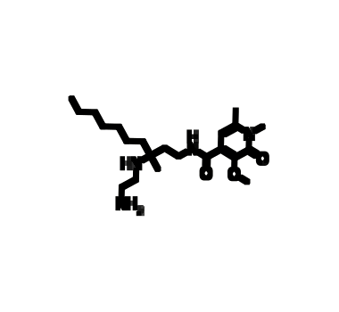 CCCCCCCC(C)(CCNC(=O)c1cc(C)n(C)c(=O)c1OC)NCCN